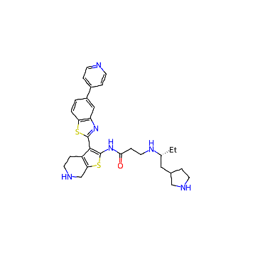 CC[C@H](CC1CCNC1)NCCC(=O)Nc1sc2c(c1-c1nc3cc(-c4ccncc4)ccc3s1)CCNC2